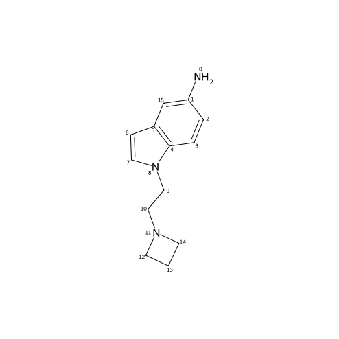 Nc1ccc2c(ccn2CCN2CCC2)c1